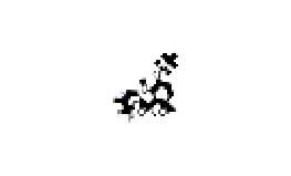 CO[C@@H]1C(O[Si](C)(C)C(C)(C)C)CC[C@]2(CO2)[C@H]1[C@@]1(C)O[C@@H]1C/C=C(/C)C(F)(F)F